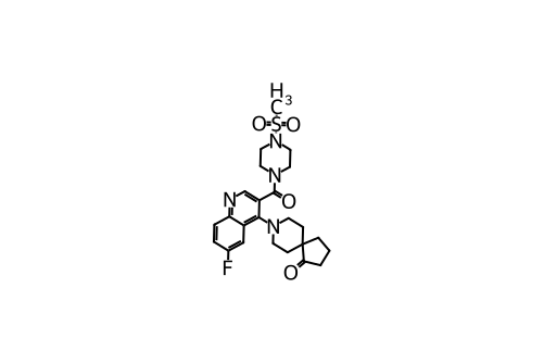 CS(=O)(=O)N1CCN(C(=O)c2cnc3ccc(F)cc3c2N2CCC3(CCCC3=O)CC2)CC1